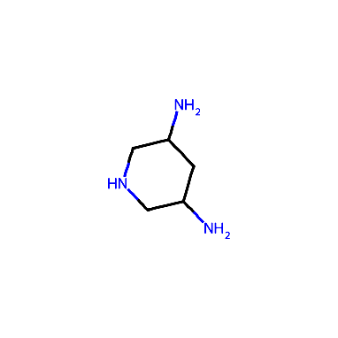 NC1CNCC(N)C1